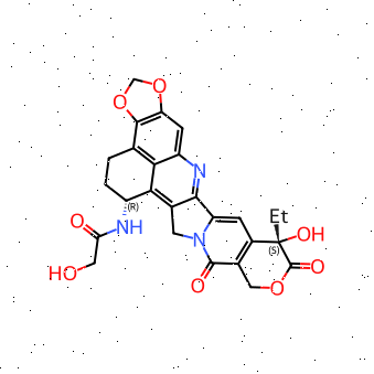 CC[C@@]1(O)C(=O)OCc2c1cc1n(c2=O)Cc2c-1nc1cc3c(c4c1c2[C@H](NC(=O)CO)CC4)OCO3